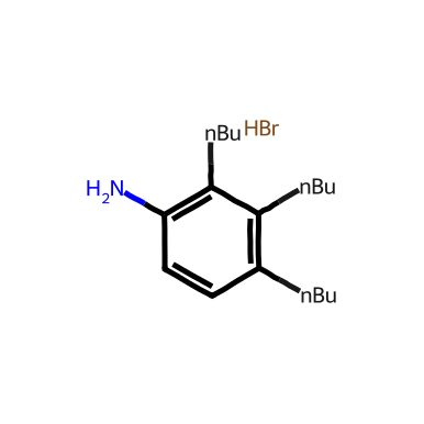 Br.CCCCc1ccc(N)c(CCCC)c1CCCC